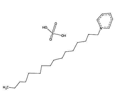 CCCCCCCCCCCCCCCC[n+]1ccccc1.O=S(=O)(O)O